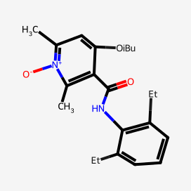 CCc1cccc(CC)c1NC(=O)c1c(OCC(C)C)cc(C)[n+]([O-])c1C